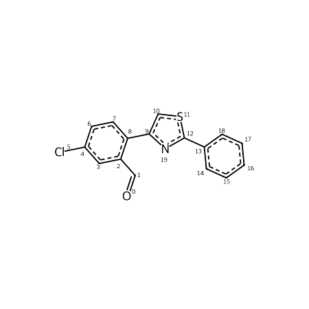 O=Cc1cc(Cl)ccc1-c1csc(-c2ccccc2)n1